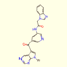 CC(C)n1cc(C(=O)c2cncc(NC(=O)Cn3cnc4ccccc43)c2)c2cncnc21